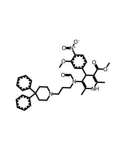 COC(=O)C1=C(C)NC(C)=C(N(C=O)CCCN2CCC(c3ccccc3)(c3ccccc3)CC2)C1c1ccc([N+](=O)[O-])c(OC)c1